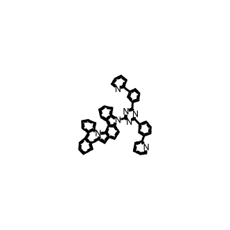 c1ccc(-c2cccc(-c3nc(-c4cccc(-c5ccccn5)c4)nc(-n4c5ccccc5c5c4ccc4cc6c7ccccc7c7ccccc7n6c45)n3)c2)nc1